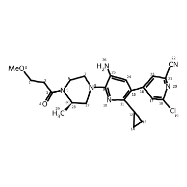 COCCC(=O)N1CCN(c2nc(C3CC3)c(-c3cc(Cl)nc(C#N)c3)cc2N)C[C@H]1C